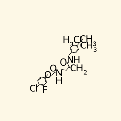 C=C(CCNC(=O)COc1ccc(Cl)c(F)c1)C(=O)NCc1ccc(C(C)(C)C)cc1